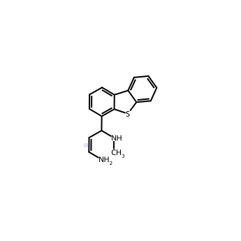 CNC(/C=C\N)c1cccc2c1sc1ccccc12